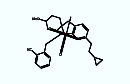 COC1CCC2(CC1)Cc1ccc(CCC3CC3)cc1C21NC(=O)N(Cc2ccccc2C#N)C1=O